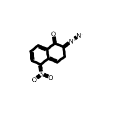 [N-]=[N+]=C1CC=C2C(=CC=CC2=S(=O)=O)C1=O